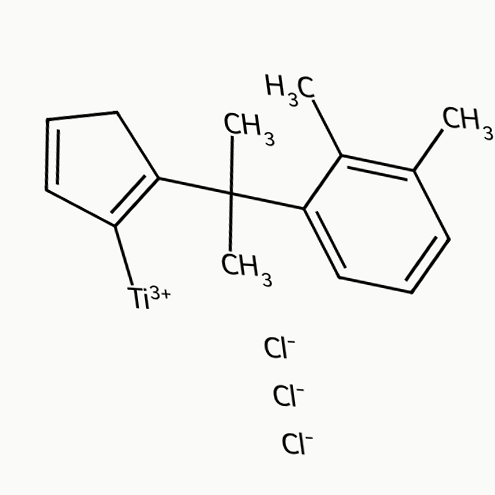 Cc1cccc(C(C)(C)C2=[C]([Ti+3])C=CC2)c1C.[Cl-].[Cl-].[Cl-]